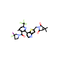 Cc1cc(C(F)(F)F)nc(-c2ccnc3cc(CN4C(=O)C5C(C4=O)C5(C)C)sc23)c1C(=O)N1CCC(F)(I)C1